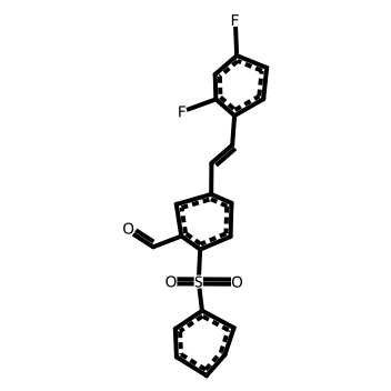 O=Cc1cc(C=Cc2ccc(F)cc2F)ccc1S(=O)(=O)c1ccccc1